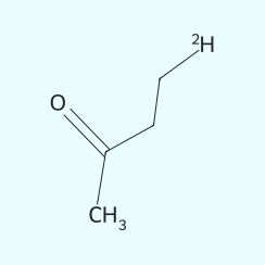 [2H]CCC(C)=O